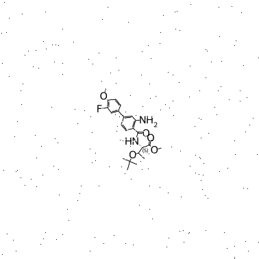 COC(=O)[C@@H](NC(=O)c1ccc(-c2ccc(OC)c(F)c2)cc1N)C(C)OC(C)(C)C